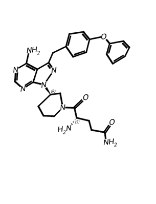 NC(=O)CC[C@H](N)C(=O)N1CCC[C@@H](n2nc(Cc3ccc(Oc4ccccc4)cc3)c3c(N)ncnc32)C1